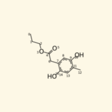 CCCOC(=O)Cc1cc(O)c(C)cc1O